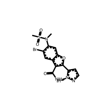 CNC(=O)c1c(-c2ccnn2C(C)C)oc2cc(N(C)S(C)(=O)=O)c(Br)cc12